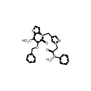 CN(C(=O)Cn1cc(Cn2c(=O)c(OCc3ccccc3)c(C(=O)O)c3sccc32)cn1)c1ccccc1